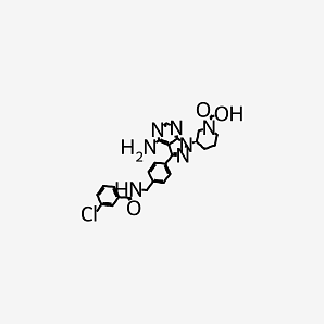 Nc1ncnc2c1c(-c1ccc(CNC(=O)c3cccc(Cl)c3)cc1)nn2[C@@H]1CCCN(C(=O)O)C1